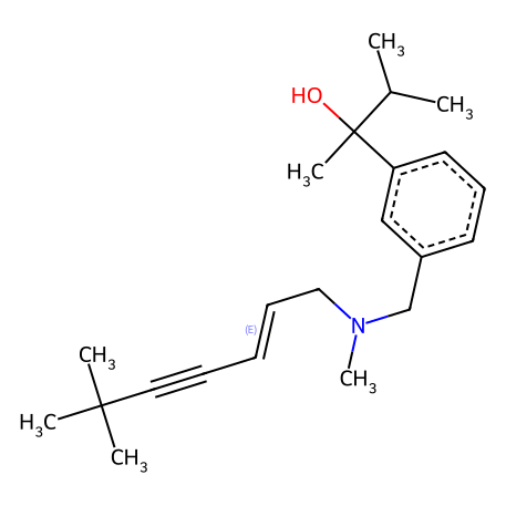 CC(C)C(C)(O)c1cccc(CN(C)C/C=C/C#CC(C)(C)C)c1